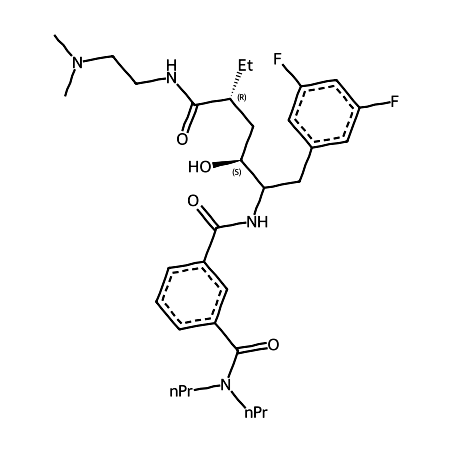 CCCN(CCC)C(=O)c1cccc(C(=O)NC(Cc2cc(F)cc(F)c2)[C@@H](O)C[C@@H](CC)C(=O)NCCN(C)C)c1